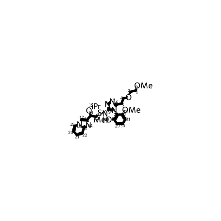 COCCOCCc1nnc(NSCC(OC(C)C)c2cn3ccccc3n2)n1-c1c(OC)cccc1OC